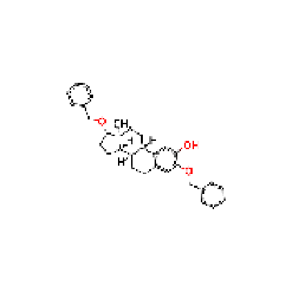 C[C@]12CC[C@@H]3c4cc(O)c(OCc5ccccc5)cc4CC[C@H]3[C@@H]1CC[C@@H]2OCc1ccccc1